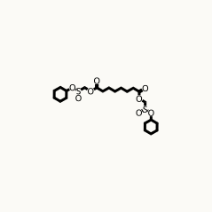 O=C(CCCCCCC(=O)OCS(=O)OC1CCCCC1)OCS(=O)OC1CCCCC1